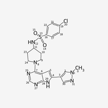 Cn1cc(-c2cc3c(N4CCC(NS(=O)(=O)c5ccc(Cl)cc5)CC4)ncnc3[nH]2)cn1